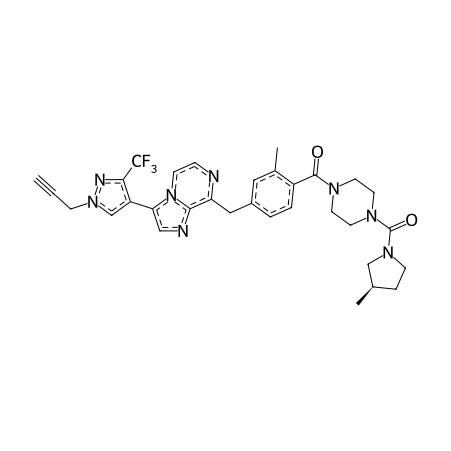 C#CCn1cc(-c2cnc3c(Cc4ccc(C(=O)N5CCN(C(=O)N6CC[C@@H](C)C6)CC5)c(C)c4)nccn23)c(C(F)(F)F)n1